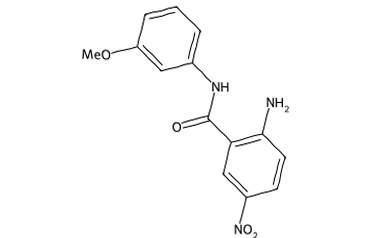 COc1cccc(NC(=O)c2cc([N+](=O)[O-])ccc2N)c1